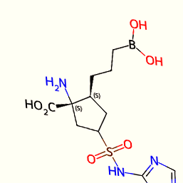 N[C@@]1(C(=O)O)CC(S(=O)(=O)Nc2ncn[nH]2)C[C@@H]1CCCB(O)O